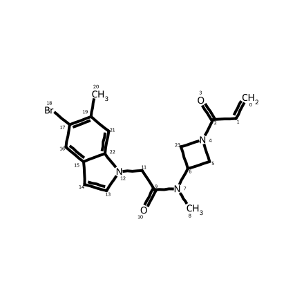 C=CC(=O)N1CC(N(C)C(=O)Cn2ccc3cc(Br)c(C)cc32)C1